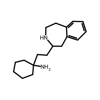 NC1(CCC2Cc3ccccc3CCN2)CCCCC1